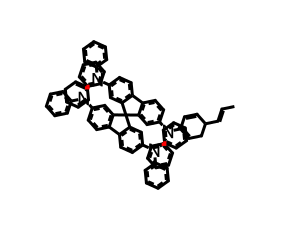 C/C=C/C1C=CC(N(c2ccccc2)c2ccc3c(c2)C2(c4cc(N(C5=CCCC=C5)c5ccccc5)ccc4-3)c3cc(N(c4ccccc4)c4ccccc4)ccc3-c3ccc(N(c4ccccc4)c4ccccc4)cc32)=CC1